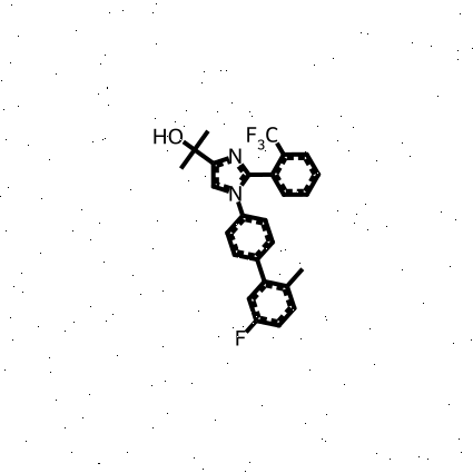 Cc1ccc(F)cc1-c1ccc(-n2cc(C(C)(C)O)nc2-c2ccccc2C(F)(F)F)cc1